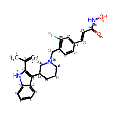 C=C(C)c1[nH]c2ccccc2c1C1CCCN(Cc2ccc(/C=C/C(=O)NO)cc2F)C1